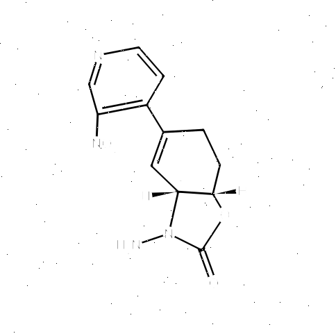 NN1C(=O)O[C@H]2CCC(c3ccncc3[N+](=O)[O-])=C[C@H]21